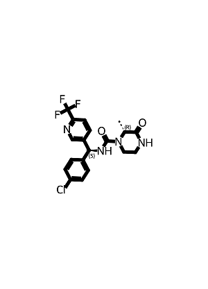 C[C@@H]1C(=O)NCCN1C(=O)N[C@@H](c1ccc(Cl)cc1)c1ccc(C(F)(F)F)nc1